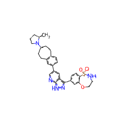 C[C@@H]1CCCN1C1CCc2ccc(-c3cnc4[nH]nc(-c5ccc6c(c5)OCCNS6(=O)=O)c4c3)cc2CC1